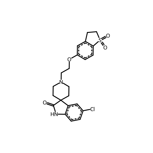 O=C1Nc2ccc(Cl)cc2C12CCN(CCOc1ccc3c(c1)CCS3(=O)=O)CC2